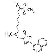 CN(C=C1N=C(c2cccc3ccccc23)OC1=O)CCCCCCN(C)S(C)(=O)=O